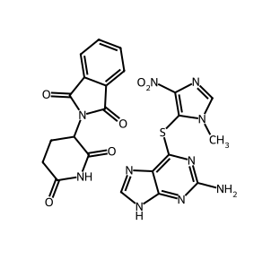 Cn1cnc([N+](=O)[O-])c1Sc1nc(N)nc2[nH]cnc12.O=C1CCC(N2C(=O)c3ccccc3C2=O)C(=O)N1